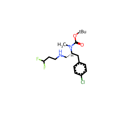 CN(C(=O)OC(C)(C)C)[C@@H](CNCCC(F)F)Cc1ccc(Cl)cc1